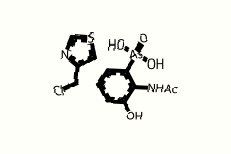 CC(=O)Nc1c(O)cccc1[As](=O)(O)O.ClCc1cscn1